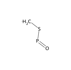 [CH2]SP=O